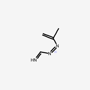 C=C(C)/N=N\C=N